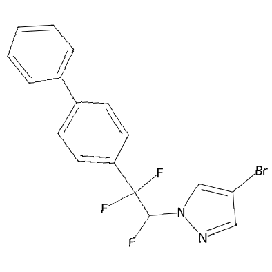 FC(n1cc(Br)cn1)C(F)(F)c1ccc(-c2ccccc2)cc1